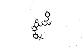 CC1Cc2nnc(-c3cccc(C(F)(F)F)c3)cc2C(OC(=O)CC(C=O)NCc2ccncc2)C1